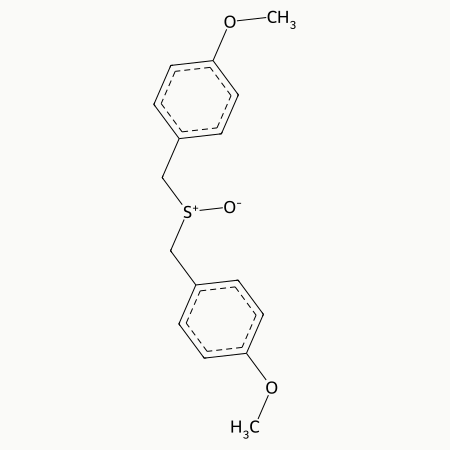 COc1ccc(C[S+]([O-])Cc2ccc(OC)cc2)cc1